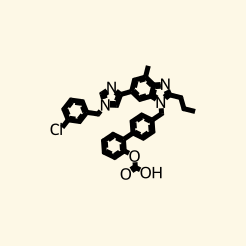 CCCc1nc2c(C)cc(-c3cn(Cc4cccc(Cl)c4)cn3)cc2n1Cc1ccc(-c2ccccc2OC(=O)O)cc1